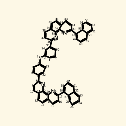 c1cc(Sc2ccc(-c3ccc4ccc5ccc(-c6cccc7ccccc67)nc5c4n3)cc2)cc(-c2ccc3ccc4ccc(-c5cccc6ccccc56)nc4c3n2)c1